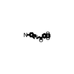 N#Cc1ccc2cn(CCC(=O)c3ccc4c(c3)OCCO4)cc2c1